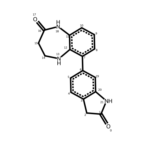 O=C1Cc2ccc(-c3cccc4c3NCCC(=O)N4)cc2N1